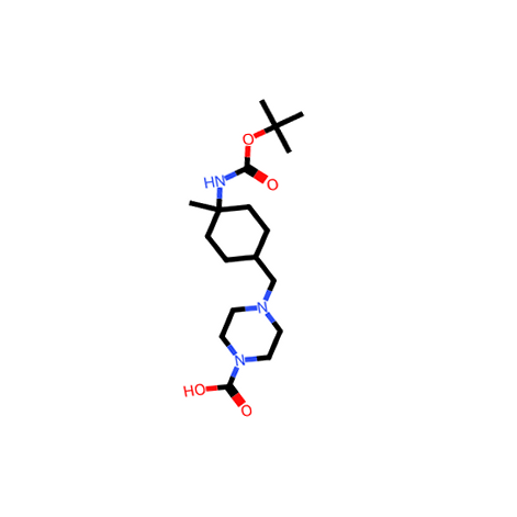 CC1(NC(=O)OC(C)(C)C)CCC(CN2CCN(C(=O)O)CC2)CC1